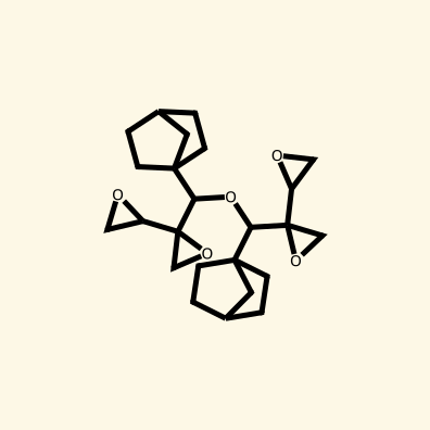 C1CC2(C(OC(C34CCC(CC3)C4)C3(C4CO4)CO3)C3(C4CO4)CO3)CCC1C2